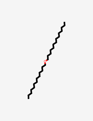 CCCCCCCCCCCCCCOCCCCCCCCCCCCC